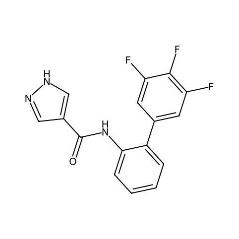 O=C(Nc1ccccc1-c1cc(F)c(F)c(F)c1)c1cn[nH]c1